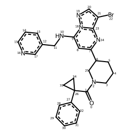 O=C(N1CCCC(c2cc(NCc3cccnc3)n3ncc(Br)c3n2)C1)C1(c2ccccc2)CC1